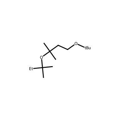 CCC(C)(C)OC(C)(C)CCOC(C)(C)C